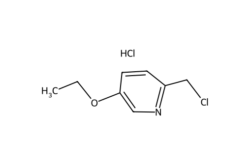 CCOc1ccc(CCl)nc1.Cl